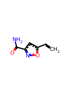 C=Cc1cc(C(N)=O)no1